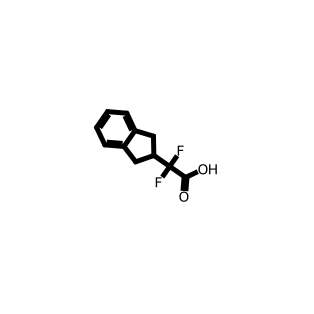 O=C(O)C(F)(F)C1Cc2ccccc2C1